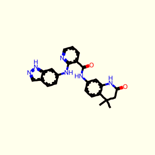 CC1(C)CC(=O)Nc2cc(NC(=O)c3cccnc3Nc3ccc4cn[nH]c4c3)ccc21